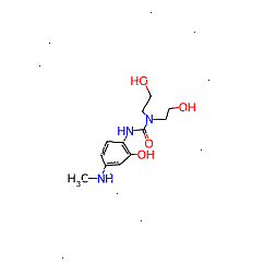 CNc1ccc(NC(=O)N(CCO)CCO)c(O)c1